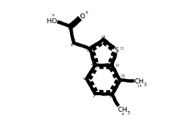 Cc1ccc2c(CC(=O)O)csc2c1C